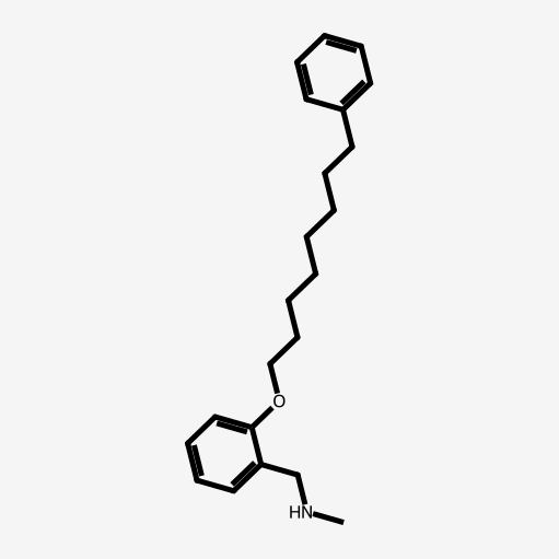 CNCc1ccccc1OCCCCCCCCc1ccccc1